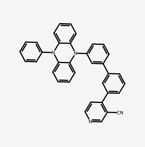 N#Cc1cnccc1-c1cccc(-c2cccc(N3c4ccccc4N(c4ccccc4)c4ccccc43)c2)c1